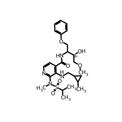 COC[C@H](O)C(COc1ccccc1)NC(=O)c1ccnc(N(C)S(=O)(=O)C(C)C)c1NCC1CC1C